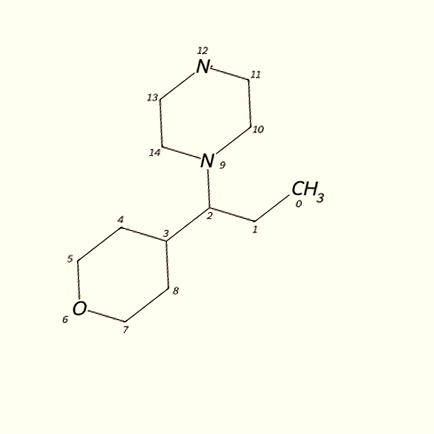 CCC(C1CCOCC1)N1CC[N]CC1